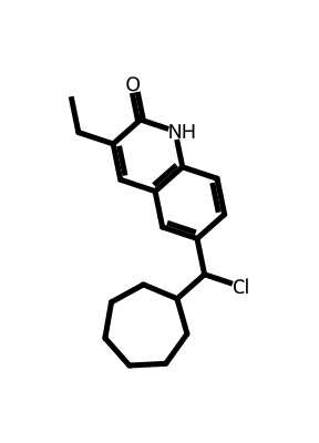 CCc1cc2cc(C(Cl)C3CCCCCC3)ccc2[nH]c1=O